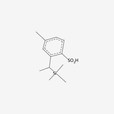 Cc1ccc(S(=O)(=O)O)c(C(C)[Si](C)(C)C)c1